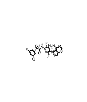 Nc1ncnc2cnn(-c3cc(F)c(NC(=O)[C@H](O)c4cc(F)cc(Cl)c4)cc3F)c12